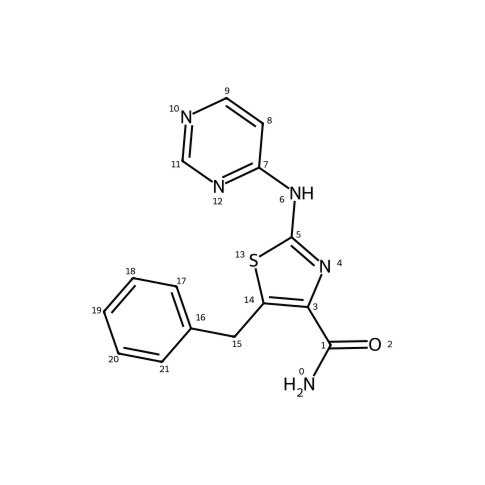 NC(=O)c1nc(Nc2ccncn2)sc1Cc1ccccc1